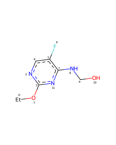 CCOc1ncc(F)c(NCO)n1